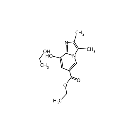 CCO.CCOC(=O)c1cc(O)c2nc(C)c(C)n2c1